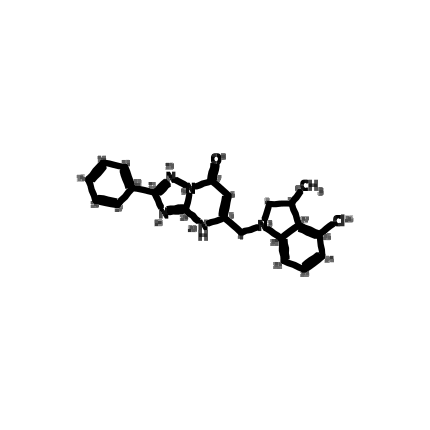 CC1CN(Cc2cc(=O)n3nc(-c4ccccc4)nc3[nH]2)c2cccc(Cl)c21